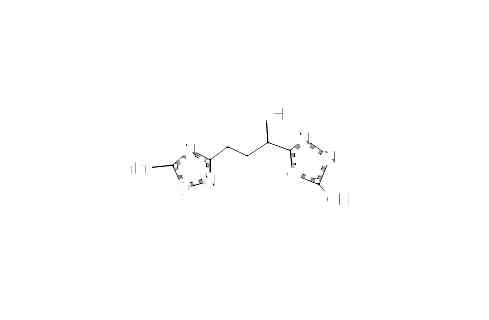 Cc1nnc(C(C)CCc2noc(C(C)C)n2)o1